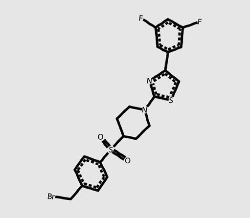 O=S(=O)(c1ccc(CBr)cc1)C1CCN(c2nc(-c3cc(F)cc(F)c3)cs2)CC1